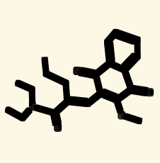 CCCC(=CC1=C(OC)C(=O)c2ccccc2C1=O)C(=O)N(CC)CC